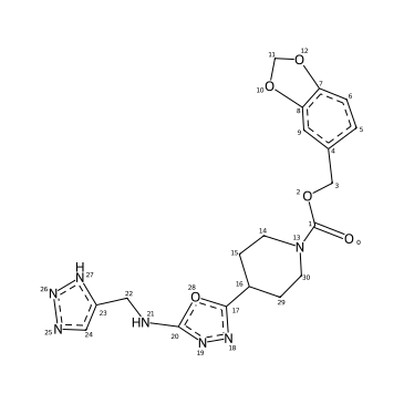 O=C(OCc1ccc2c(c1)OCO2)N1CCC(c2nnc(NCc3cnn[nH]3)o2)CC1